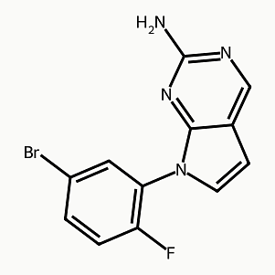 Nc1ncc2ccn(-c3cc(Br)ccc3F)c2n1